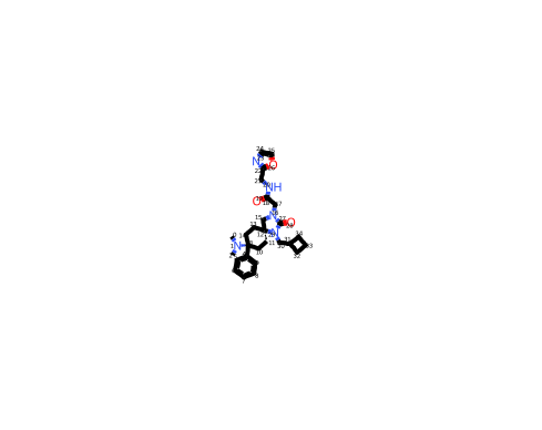 CN(C)[C@]1(c2ccccc2)CC[C@]2(CC1)CN(CC(=O)NCc1ncco1)C(=O)N2CC1CCC1